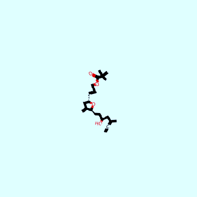 C=C=C(C)CC(O)CC[C@@H]1O[C@@H](CCCOC(=O)C(C)(C)C)CC1=C